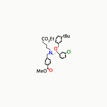 CCOC(=O)CCCCN(Cc1ccc(C(=O)OC)cc1)C[C@H](OCc1cccc(C(C)(C)C)c1)c1cccc(Cl)c1